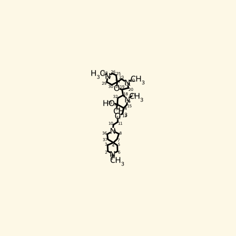 CN1CCC2(CC1)CCN(CCOCC1CN(C)C(C3CN(C)CC4(CCN(C)CC4)O3)CC1(C)O)CC2